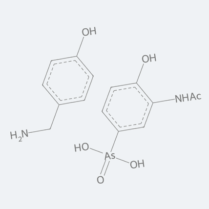 CC(=O)Nc1cc([As](=O)(O)O)ccc1O.NCc1ccc(O)cc1